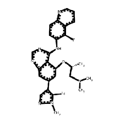 [2H]c1c(-c2cc(O[C@H](C)CN(C)C)c3c(Nc4ccc5ncccc5c4F)ncnc3c2)cnn1C